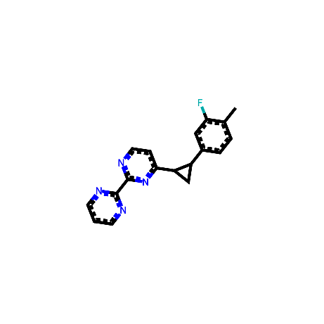 Cc1ccc(C2CC2c2ccnc(-c3ncccn3)n2)cc1F